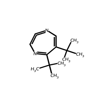 CC(C)(C)C1=CN=C=CN=C1C(C)(C)C